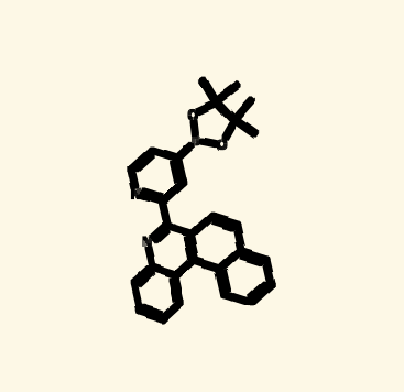 CC1(C)OB(c2ccnc(-c3nc4ccccc4c4c3ccc3ccccc34)c2)OC1(C)C